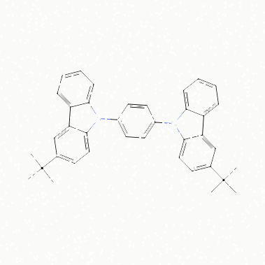 CC(C)(C)c1ccc2c(c1)c1ccccc1n2-c1ccc(-n2c3ccccc3c3cc(C(C)(C)C)ccc32)cc1